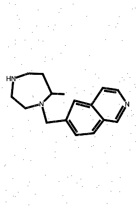 CC1CCNCCN1Cc1ccc2cnccc2c1